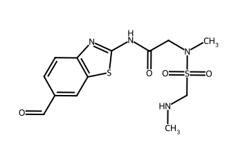 CNCS(=O)(=O)N(C)CC(=O)Nc1nc2ccc(C=O)cc2s1